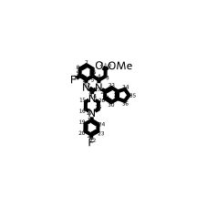 COC(=O)CC1c2cccc(F)c2N=C(N2CCN(c3ccc(F)cc3)CC2)N1c1ccc2c(c1)CCC2